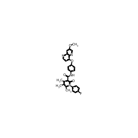 COc1cnc2c(Oc3ccc(NC(=O)c4c(C)c(C)c(C)n(-c5ccc(F)cc5)c4=O)cc3)ccnc2c1